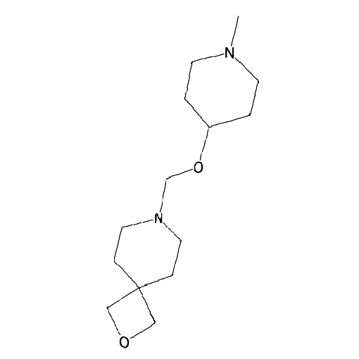 CN1CCC(OCN2CCC3(CC2)COC3)CC1